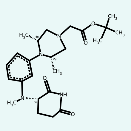 C[C@@H]1CN(CC(=O)OC(C)(C)C)C[C@H](C)N1c1cccc(N(C)[C@H]2CCC(=O)NC2=O)c1